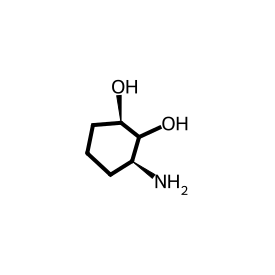 N[C@H]1CCC[C@@H](O)C1O